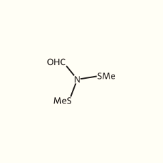 CSN(C=O)SC